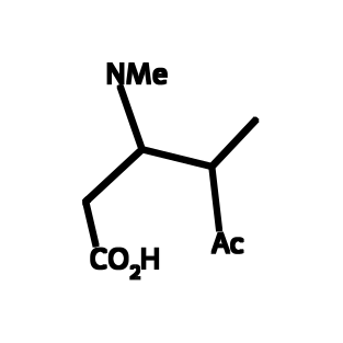 CNC(CC(=O)O)C(C)C(C)=O